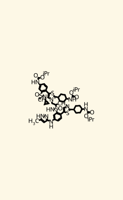 Cc1cc(Nc2ccc(-c3cnc(C4CCC(NC(=O)OC(C)C)CC4)s3)c(S(=N)(=O)C(C)C[n+]3cc(-c4ccc(NC(=O)OC(C)C)cc4S(C)(=O)=NC4CC4)sc3C3CCC(NC(=O)OC(C)C)CC3)c2)n[nH]1